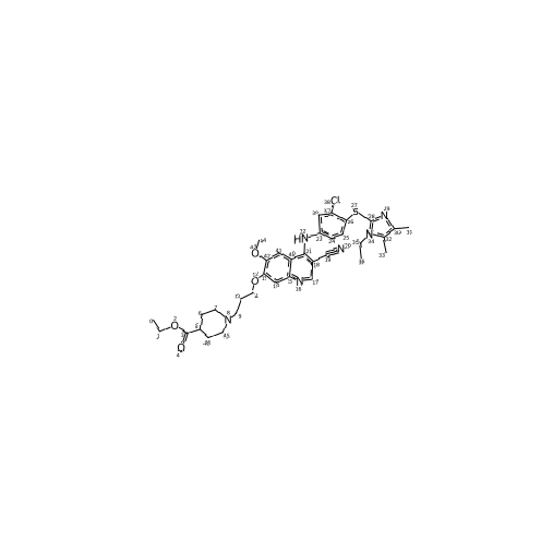 CCOC(=O)C1CCN(CCCOc2cc3ncc(C#N)c(Nc4ccc(Sc5nc(C)c(C)n5CC)c(Cl)c4)c3cc2OC)CC1